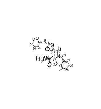 CCN(C(=O)C1=COC(Cc2ccccc2)O1)C(CC(N)=O)Cc1ccccc1